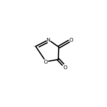 O=C1N=[C]OC1=O